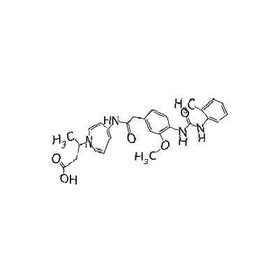 COc1cc(CC(=O)NC2=CC=CN(C(C)CC(=O)O)C=C2)ccc1NC(=O)Nc1ccccc1C